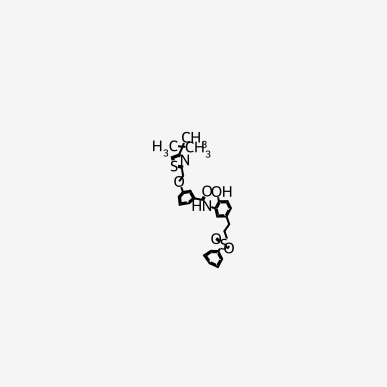 CC(C)(C)c1csc(COc2cccc(C(=O)Nc3cc(CCCS(=O)(=O)c4ccccc4)ccc3O)c2)n1